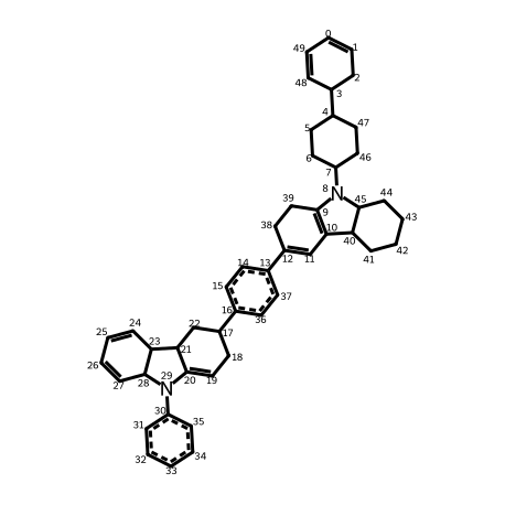 C1=CCC(C2CCC(N3C4=C(C=C(c5ccc(C6CC=C7C(C6)C6C=CC=CC6N7c6ccccc6)cc5)CC4)C4CCCCC43)CC2)C=C1